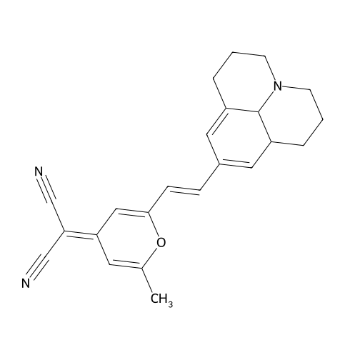 CC1=CC(=C(C#N)C#N)C=C(/C=C/C2=CC3CCCN4CCCC(=C2)C34)O1